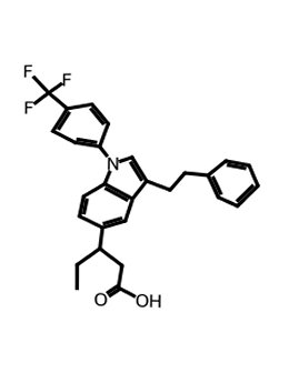 CCC(CC(=O)O)c1ccc2c(c1)c(CCc1ccccc1)cn2-c1ccc(C(F)(F)F)cc1